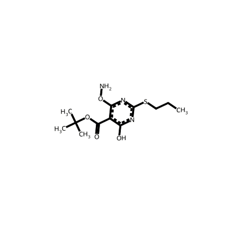 CCCSc1nc(O)c(C(=O)OC(C)(C)C)c(ON)n1